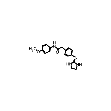 COc1ccc(NC(=O)Cc2ccc(N=C3NCCN3)cc2)cc1